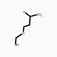 [CH2]CCCOCCC(C)F